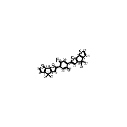 CC1(C)c2ccsc2-c2sc(-c3cc(F)c(-c4cc5c(s4)-c4sccc4C5(C)C)cc3F)cc21